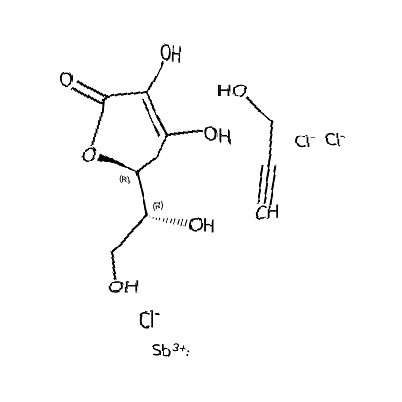 C#CCO.O=C1O[C@H]([C@H](O)CO)C(O)=C1O.[Cl-].[Cl-].[Cl-].[Sb+3]